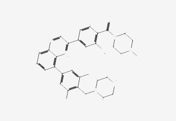 CCN1CCN(C(=O)c2ccc(-c3cnc4cccc(-c5cc(F)c(CN6CCOCC6)c(F)c5)c4n3)cc2C)CC1